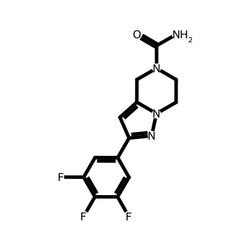 NC(=O)N1CCn2nc(-c3cc(F)c(F)c(F)c3)cc2C1